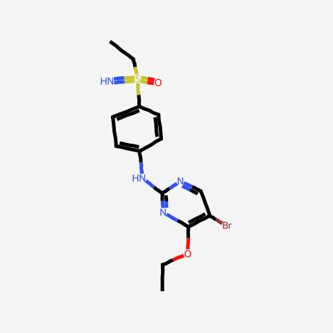 CCOc1nc(Nc2ccc(S(=N)(=O)CC)cc2)ncc1Br